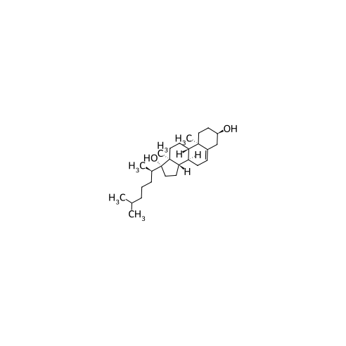 CC(C)CCC[C@@H](C)[C@]1(O)CC[C@H]2[C@@H]3CC=C4C[C@H](O)CC[C@]4(C)[C@H]3CC[C@@]21C